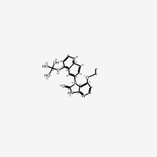 CCOc1ccnc2[nH]c(=O)n(-c3ccc4nccc(OC(O)(O)O)c4c3)c12